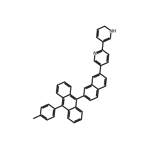 Cc1ccc(-c2c3ccccc3c(-c3ccc4ccc(-c5ccc(C6=CNCC=C6)nc5)cc4c3)c3ccccc23)cc1